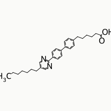 CCCCCCCc1cnc(-c2ccc(-c3ccc(CCCCCC(=O)O)cc3)cc2)nc1